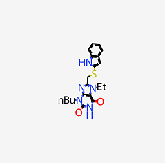 CCCCn1c(=O)[nH]c(=O)c2c1nc(CSc1cc3ccccc3[nH]1)n2CC